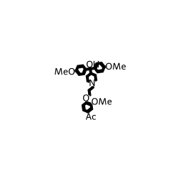 COc1ccc(C(O)(c2ccc(OC)cc2)C2CCN(CCCOc3ccc(C(C)=O)cc3OC)CC2)cc1